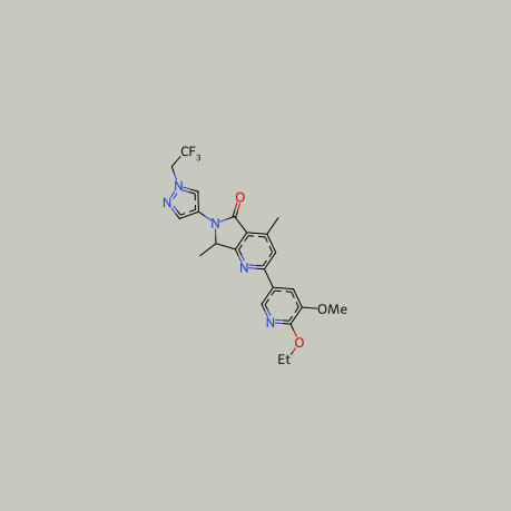 CCOc1ncc(-c2cc(C)c3c(n2)C(C)N(c2cnn(CC(F)(F)F)c2)C3=O)cc1OC